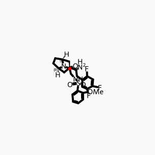 COc1ccccc1S(=O)(=O)NCC(=O)N1[C@@H]2CC[C@H]1C[C@@H]([C@H](N)Cc1cc(F)c(F)cc1F)C2